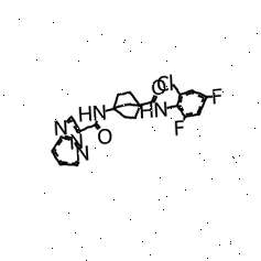 O=C(NC12CCC(C(=O)Nc3c(F)cc(F)cc3Cl)(CC1)CC2)c1cnc2cccnn12